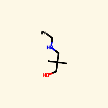 CC(C)CNCC(C)(C)CO